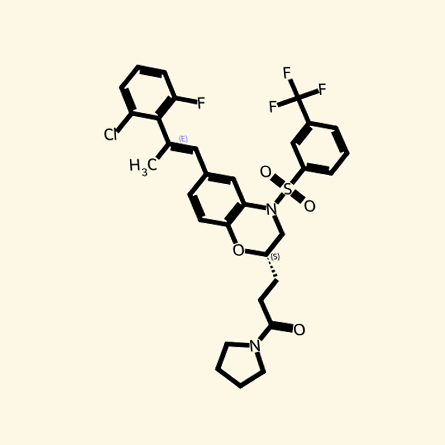 C/C(=C\c1ccc2c(c1)N(S(=O)(=O)c1cccc(C(F)(F)F)c1)C[C@H](CCC(=O)N1CCCC1)O2)c1c(F)cccc1Cl